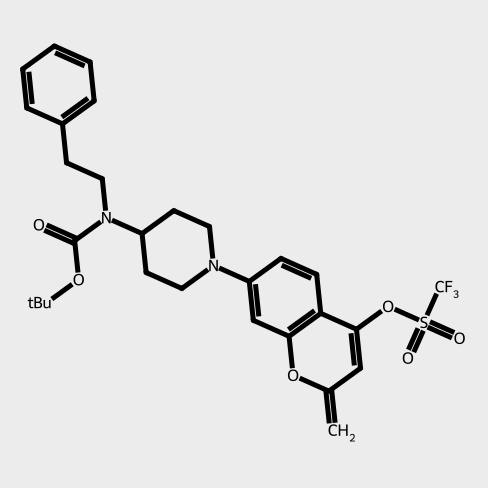 C=C1C=C(OS(=O)(=O)C(F)(F)F)c2ccc(N3CCC(N(CCc4ccccc4)C(=O)OC(C)(C)C)CC3)cc2O1